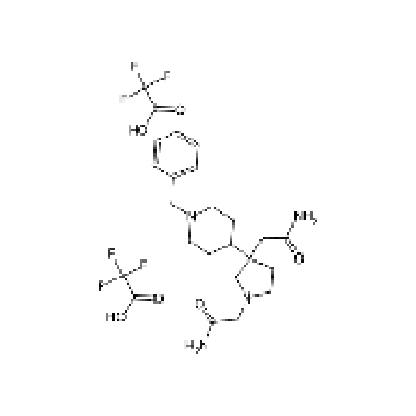 NC(=O)CN1CCC(CC(N)=O)(C2CCN(Cc3ccccc3)CC2)C1.O=C(O)C(F)(F)F.O=C(O)C(F)(F)F